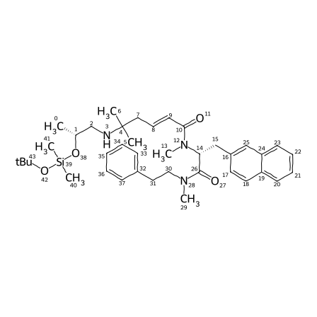 C[C@H](CNC(C)(C)C/C=C/C(=O)N(C)[C@H](Cc1ccc2ccccc2c1)C(=O)N(C)CCc1ccccc1)O[Si](C)(C)OC(C)(C)C